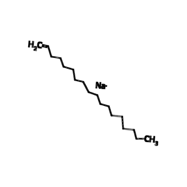 C=CCCCCCCCCCCCCCCCC.[Na]